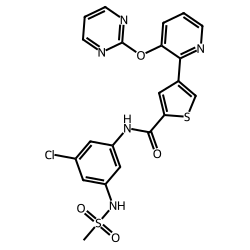 CS(=O)(=O)Nc1cc(Cl)cc(NC(=O)c2cc(-c3ncccc3Oc3ncccn3)cs2)c1